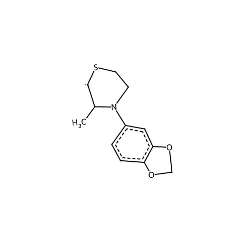 CC1[CH]SCCN1c1ccc2c(c1)OCO2